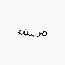 Cc1c([C@@H](C)N(C)C(=O)/C=C/c2cnc3c(c2)C(O)C(C)(C)C(=O)N3)oc2ccccc12